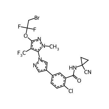 Cn1nc(OC(F)(F)CBr)c(C(F)(F)F)c1-n1cc(-c2ccc(Cl)c(C(=O)NC3(C#N)CC3)c2)cn1